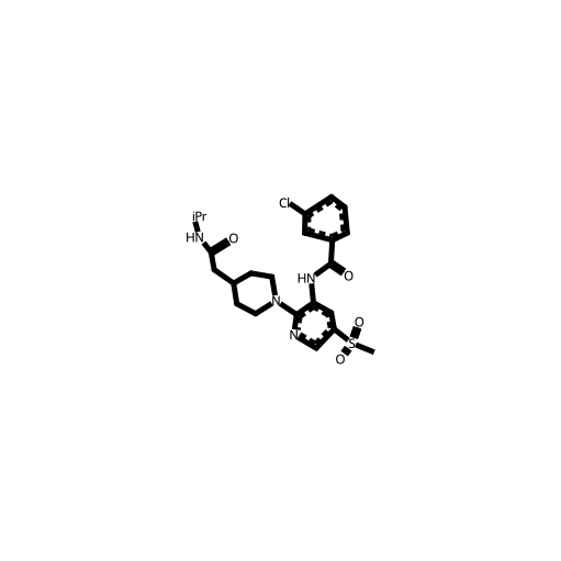 CC(C)NC(=O)CC1CCN(c2ncc(S(C)(=O)=O)cc2NC(=O)c2cccc(Cl)c2)CC1